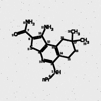 CCCNc1nc2sc(C(N)=O)c(N)c2c2c1CCC(C)(C)C2